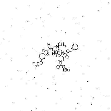 CN(CC(=O)Nc1nc2ccc(OC(F)(F)F)cc2s1)C(=O)CN(C(=O)OCc1ccccc1)C1(C)CCN(C(=O)OC(C)(C)C)CC1